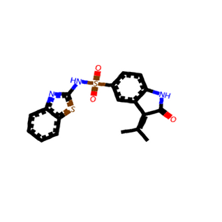 CC(C)=C1C(=O)Nc2ccc(S(=O)(=O)Nc3nc4ccccc4s3)cc21